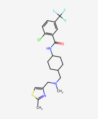 Cc1nc(CN(C)CC2CCC(NC(=O)c3cc(C(F)(F)F)ccc3Cl)CC2)cs1